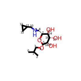 CC(C)CO[C@H]1O[C@H](CNCC2CC2)[C@@H](O)[C@H](O)[C@@H]1O